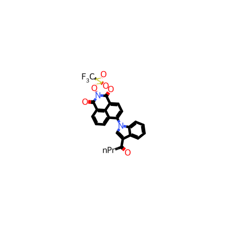 CCCC(=O)c1cn(-c2ccc3c4c(cccc24)C(=O)N(OS(=O)(=O)C(F)(F)F)C3=O)c2ccccc12